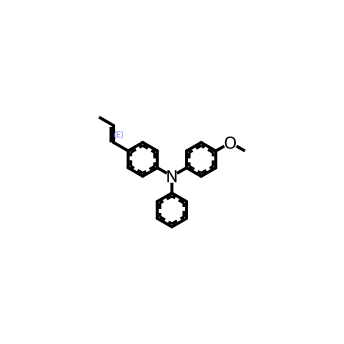 C/C=C/c1ccc(N(c2ccccc2)c2ccc(OC)cc2)cc1